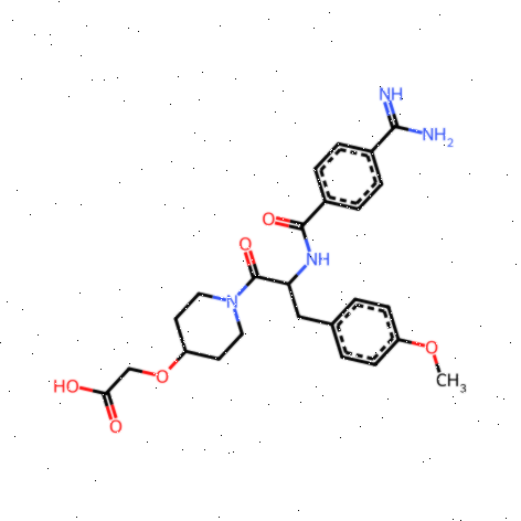 COc1ccc(CC(NC(=O)c2ccc(C(=N)N)cc2)C(=O)N2CCC(OCC(=O)O)CC2)cc1